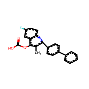 Cc1c(-c2ccc(-c3ccccc3)cc2)nc2ccc(F)cc2c1OC(=O)O